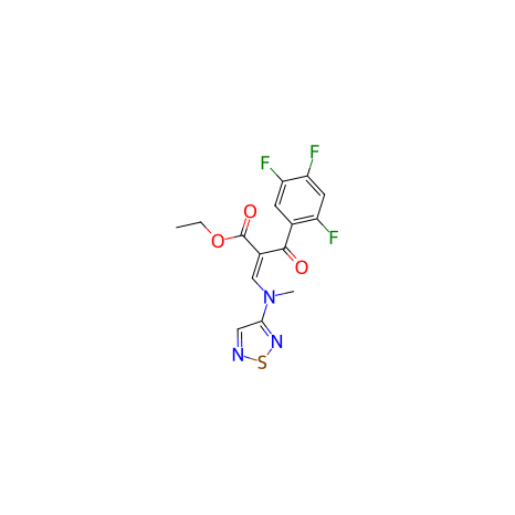 CCOC(=O)/C(=C/N(C)c1cnsn1)C(=O)c1cc(F)c(F)cc1F